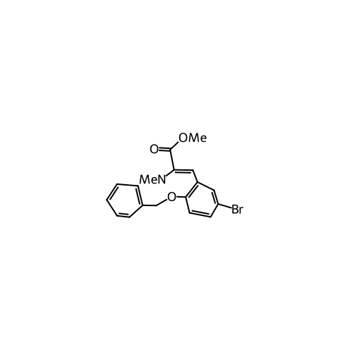 CN/C(=C\c1cc(Br)ccc1OCc1ccccc1)C(=O)OC